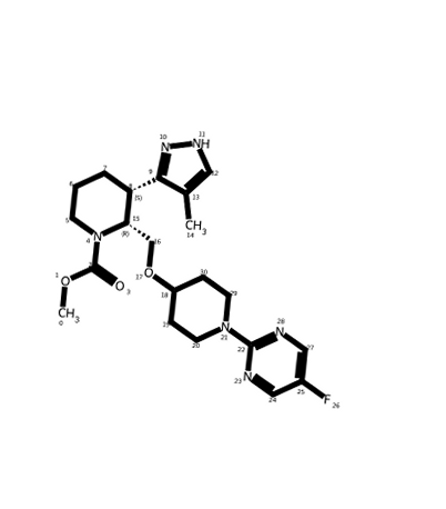 COC(=O)N1CCC[C@H](c2n[nH]cc2C)[C@@H]1COC1CCN(c2ncc(F)cn2)CC1